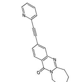 C[C@H]1CCc2nc3cc(C#Cc4ccccn4)ccc3c(=O)n2CC1